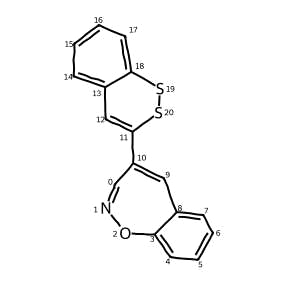 [C]1=NOc2ccccc2C=C1C1=Cc2ccccc2SS1